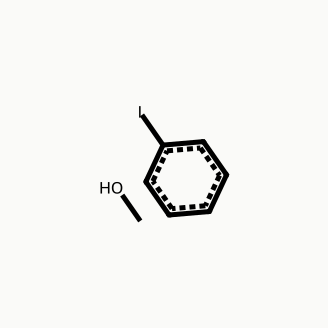 CO.Ic1ccccc1